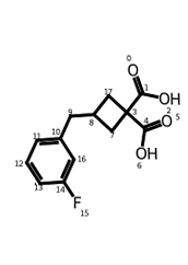 O=C(O)C1(C(=O)O)CC(Cc2cc[c]c(F)c2)C1